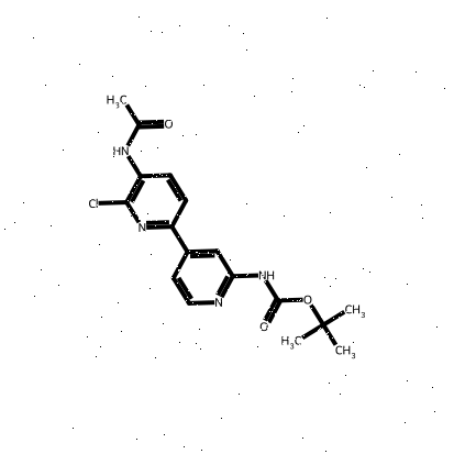 CC(=O)Nc1ccc(-c2ccnc(NC(=O)OC(C)(C)C)c2)nc1Cl